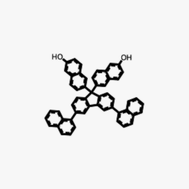 Oc1ccc2cc(C3(c4ccc5cc(O)ccc5c4)c4ccc(-c5cccc6ccccc56)cc4-c4cc(-c5cccc6ccccc56)ccc43)ccc2c1